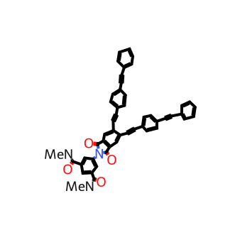 CNC(=O)c1cc(C(=O)NC)cc(N2C(=O)c3cc(C#Cc4ccc(C#Cc5ccccc5)cc4)c(C#Cc4ccc(C#Cc5ccccc5)cc4)cc3C2=O)c1